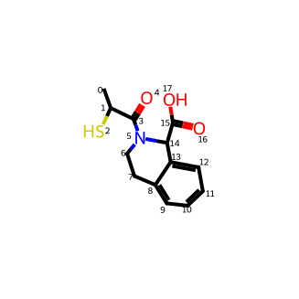 CC(S)C(=O)N1CCc2ccccc2C1C(=O)O